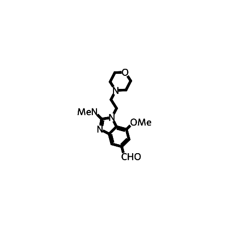 CNc1nc2cc(C=O)cc(OC)c2n1CCN1CCOCC1